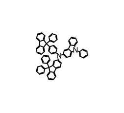 c1ccc(-n2c3ccccc3c3cc(N(c4ccc(C5(c6ccccc6)c6ccccc6-c6ccccc65)cc4)c4ccc5c(c4)C(c4ccccc4)(c4ccccc4)c4ccccc4-5)ccc32)cc1